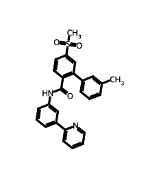 Cc1cccc(-c2cc(S(C)(=O)=O)ccc2C(=O)Nc2cccc(-c3ccccn3)c2)c1